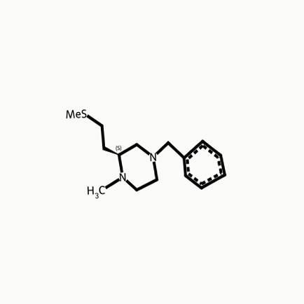 CSCC[C@H]1CN(Cc2ccccc2)CCN1C